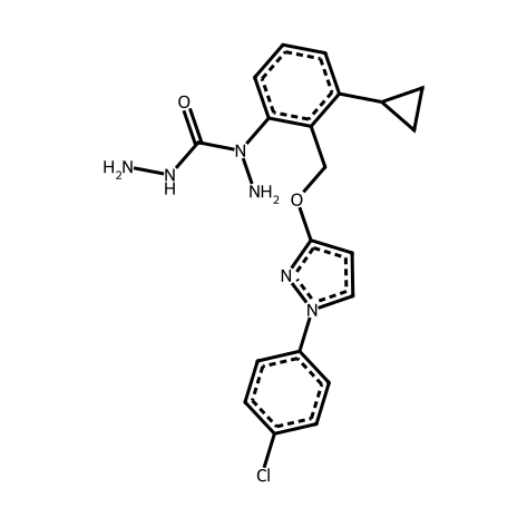 NNC(=O)N(N)c1cccc(C2CC2)c1COc1ccn(-c2ccc(Cl)cc2)n1